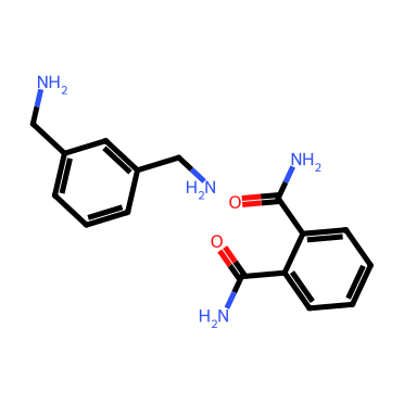 NC(=O)c1ccccc1C(N)=O.NCc1cccc(CN)c1